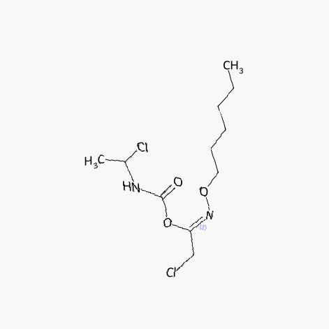 CCCCCCO/N=C(/CCl)OC(=O)NC(C)Cl